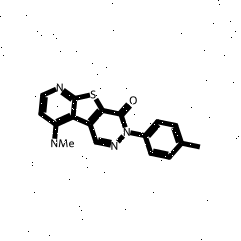 CNc1ccnc2sc3c(=O)n(-c4ccc(C)cc4)ncc3c12